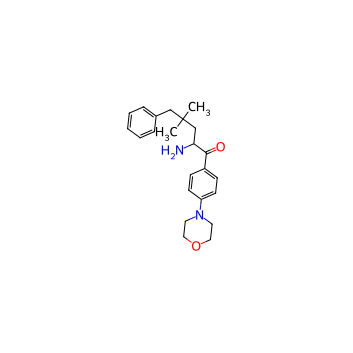 CC(C)(Cc1ccccc1)CC(N)C(=O)c1ccc(N2CCOCC2)cc1